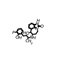 CC(CCc1cccc(F)c1O)NC1CCn2c(=O)[nH]c3cccc(c32)C1O